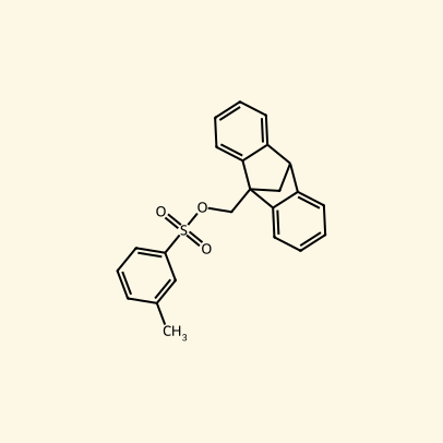 Cc1cccc(S(=O)(=O)OCC23CC(c4ccccc42)c2ccccc23)c1